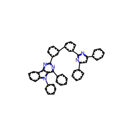 c1ccc(-c2cc(-c3ccccc3)nc(-c3cccc(-c4cccc(-c5nc(-c6ccccc6)c6c(n5)c5ccccc5n6-c5ccccc5)c4)c3)n2)cc1